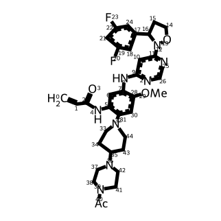 C=CC(=O)Nc1cc(Nc2cc(N3OCCC3c3cc(F)cc(F)c3)ncn2)c(OC)cc1N1CCC(N2CCN(C(C)=O)CC2)CC1